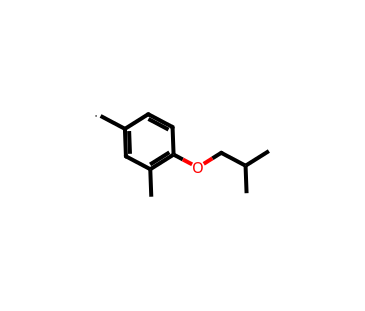 [CH2]c1ccc(OCC(C)C)c(C)c1